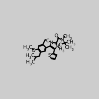 COc1cc2c(cc1CC(C)C)-c1c(-c3cccs3)nc(C(=O)N(C)C(C)(C)C)n1CC2